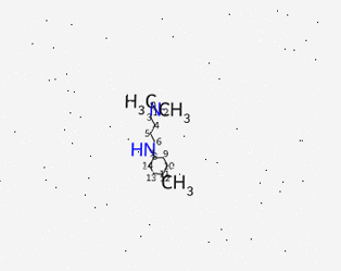 CN(C)CCCCN[C@H]1CC[C@H](C)CC1